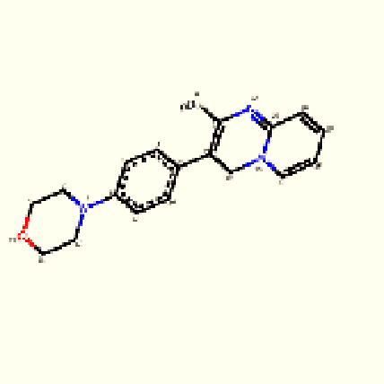 CCCCC1=C(c2ccc(N3CCOCC3)cc2)CN2C=CC=CC2=N1